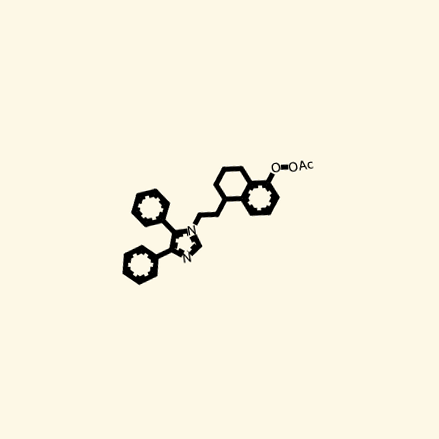 CC(=O)OOc1cccc2c1CCCC2CCn1cnc(-c2ccccc2)c1-c1ccccc1